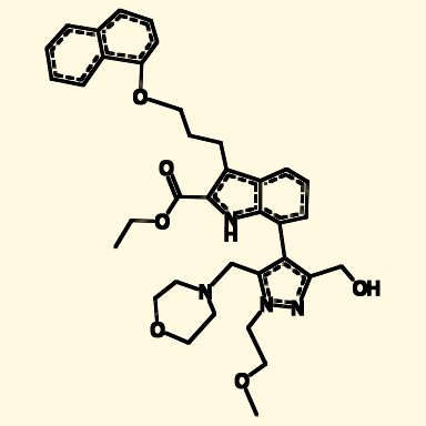 CCOC(=O)c1[nH]c2c(-c3c(CO)nn(CCOC)c3CN3CCOCC3)cccc2c1CCCOc1cccc2ccccc12